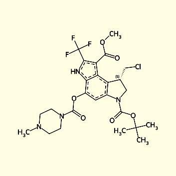 COC(=O)c1c(C(F)(F)F)[nH]c2c(OC(=O)N3CCN(C)CC3)cc3c(c12)[C@H](CCl)CN3C(=O)OC(C)(C)C